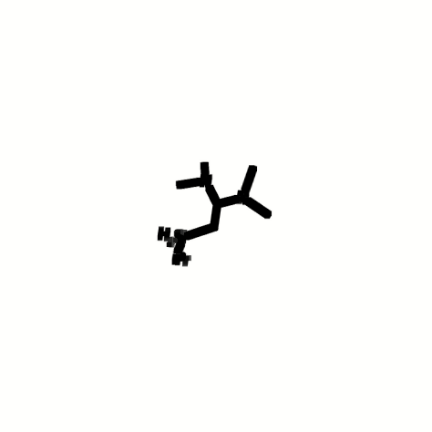 CC(C)[SiH2]CC(N(C)C)N(C)C